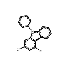 Clc1cc(Cl)c2c3ccccc3n(-c3ccccc3)c2c1